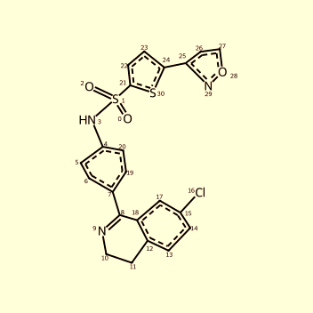 O=S(=O)(Nc1ccc(C2=NCCc3ccc(Cl)cc32)cc1)c1ccc(-c2ccon2)s1